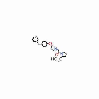 O=C(O)[C@@H]1CCCN1C(=O)CN1CC[C@H](Oc2ccc(Cc3ccccc3)cc2)C1